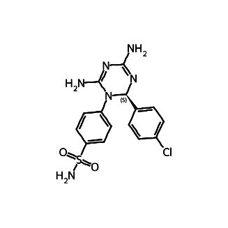 NC1=N[C@@H](c2ccc(Cl)cc2)N(c2ccc(S(N)(=O)=O)cc2)C(N)=N1